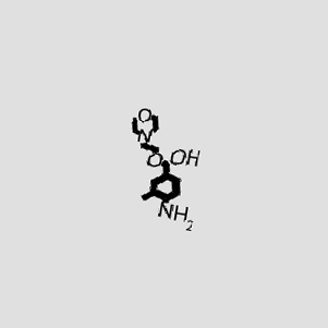 Cc1cc(C(O)OCCN2CCOCC2)ccc1N